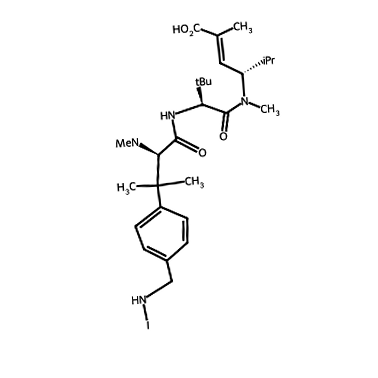 CN[C@@H](C(=O)N[C@H](C(=O)N(C)[C@H](/C=C(\C)C(=O)O)C(C)C)C(C)(C)C)C(C)(C)c1ccc(CNI)cc1